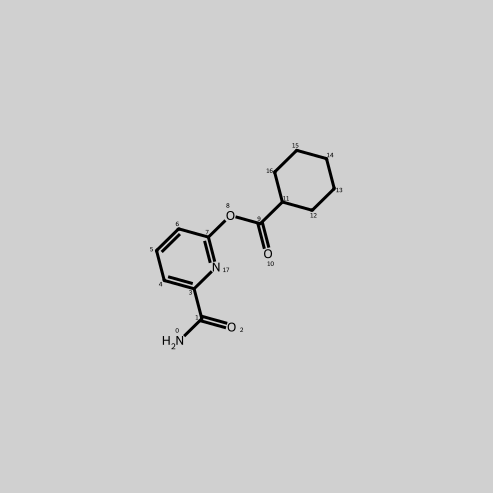 NC(=O)c1cccc(OC(=O)C2CCCCC2)n1